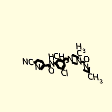 Cc1c(CN2CCN(C(=O)N3CC(C)C3)[C@@H](C)C2)cc(Cl)cc1NC(=O)c1ccc(C#N)nc1